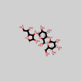 OCC(O)C1OCC(O)C1O[C@@H]1OC(CO)[C@H](O[C@@H]2OC(CO)[C@@H](O)[C@@H](O)C2O)[C@@H](O)C1O